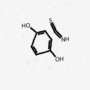 N=C=S.Oc1ccc(O)cc1